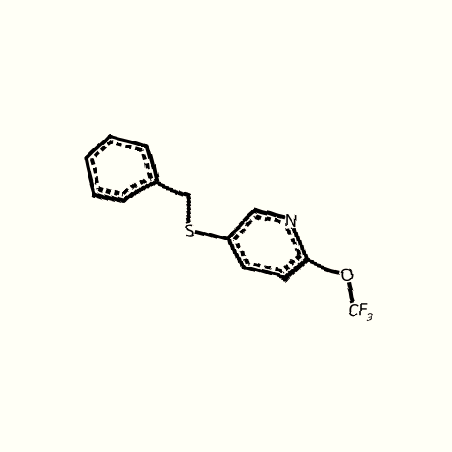 FC(F)(F)Oc1ccc(SCc2ccccc2)cn1